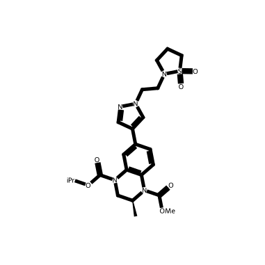 COC(=O)N1c2ccc(-c3cnn(CCN4CCCS4(=O)=O)c3)cc2N(C(=O)OC(C)C)C[C@@H]1C